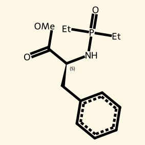 CCP(=O)(CC)N[C@@H](Cc1ccccc1)C(=O)OC